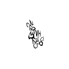 CN(C)C(=O)c1ccc(Nc2nccc3nc(-c4c(Cl)cccc4Cl)sc23)nn1